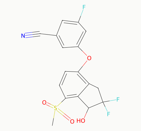 CS(=O)(=O)c1ccc(Oc2cc(F)cc(C#N)c2)c2c1C(O)C(F)(F)C2